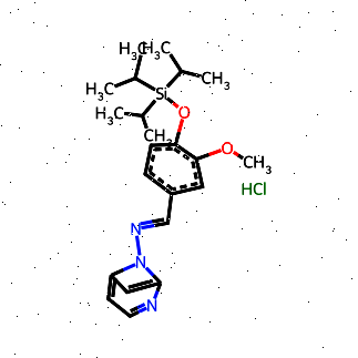 COc1cc(C=NN2C3=CC=NC2=C3)ccc1O[Si](C(C)C)(C(C)C)C(C)C.Cl